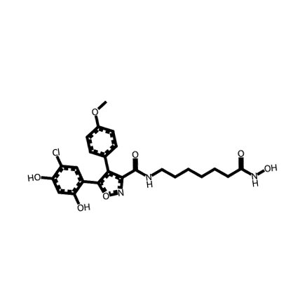 COc1ccc(-c2c(C(=O)NCCCCCCC(=O)NO)noc2-c2cc(Cl)c(O)cc2O)cc1